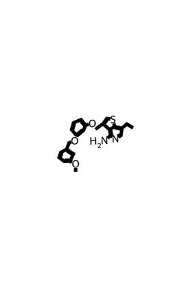 CCc1cnc(N)c2c(COc3cccc(OCc4cccc(OC)c4)c3)csc12